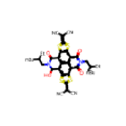 CCCCC(CC)CN1C(=O)c2c3sc(=C(C#N)C#N)sc3c3c(=O)n(CC(CC)CCCC)c(=O)c4c5sc(=C(C#N)C#N)sc5c(c2c34)C1O